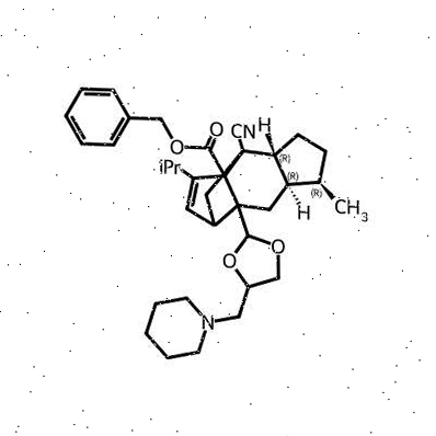 CC(C)C1=CC2CC3(C#N)[C@@H]4CC[C@@H](C)[C@H]4CC2(C2OCC(CN4CCCCC4)O2)C13C(=O)OCc1ccccc1